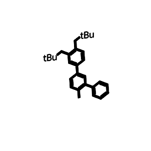 Cc1ccc(-c2ccc(CC(C)(C)C)c(CC(C)(C)C)c2)cc1-c1ccccc1